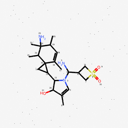 CC1=CN(C(N)C2CS(=O)(=O)C2)C(C2CC23C(C)=CC(C)C(C)(N)C3C)C1O